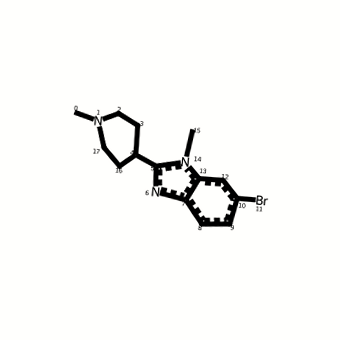 CN1CCC(c2nc3ccc(Br)cc3n2C)CC1